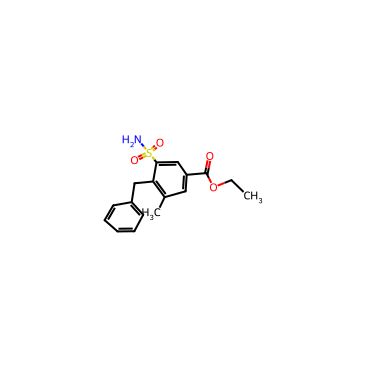 CCOC(=O)c1cc(C)c(Cc2ccccc2)c(S(N)(=O)=O)c1